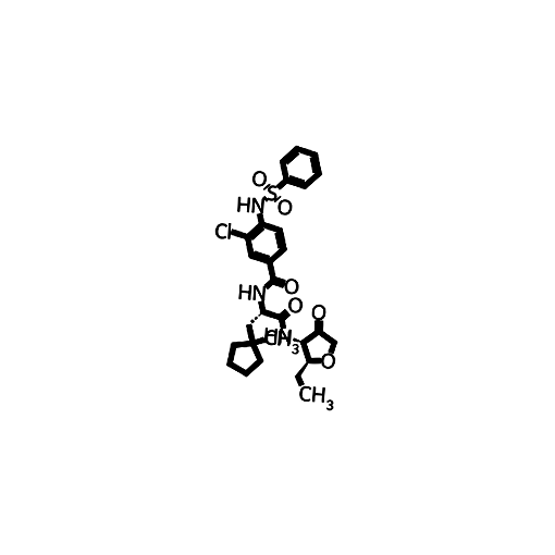 CC[C@@H]1OCC(=O)[C@H]1NC(=O)[C@H](CC1(C)CCCC1)NC(=O)c1ccc(NS(=O)(=O)c2ccccc2)c(Cl)c1